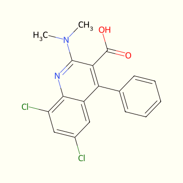 CN(C)c1nc2c(Cl)cc(Cl)cc2c(-c2ccccc2)c1C(=O)O